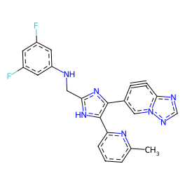 Cc1cccc(-c2[nH]c(CNc3cc(F)cc(F)c3)nc2-c2c#cc3ncnn3c2)n1